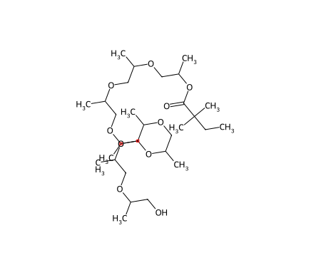 CCC(C)(C)C(=O)OC(C)COC(C)COC(C)COC(C)COC(C)COC(C)COC(C)COC(C)CO